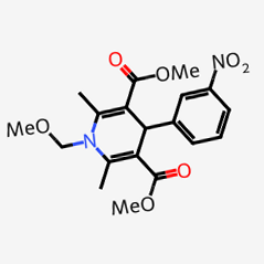 COCN1C(C)=C(C(=O)OC)C(c2cccc([N+](=O)[O-])c2)C(C(=O)OC)=C1C